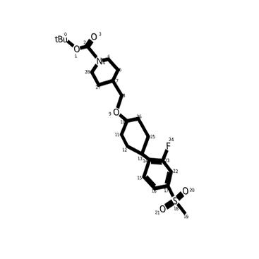 CC(C)(C)OC(=O)N1CCC(COC2CCC(c3ccc(S(C)(=O)=O)cc3F)CC2)CC1